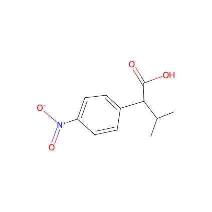 CC(C)C(C(=O)O)c1ccc([N+](=O)[O-])cc1